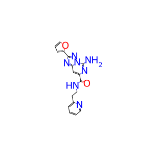 Nc1nc(C(=O)NCCc2ccccn2)cc2nc(-c3ccco3)nn12